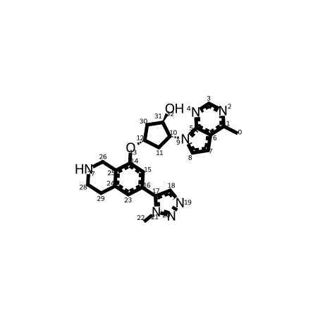 Cc1ncnc2c1ccn2[C@@H]1C[C@H](Oc2cc(-c3cnnn3C)cc3c2CNCC3)C[C@H]1O